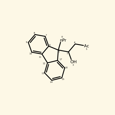 CCCC1(C(O)CC(C)=O)c2ccccc2-c2ccccc21